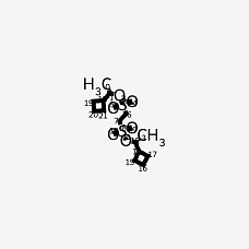 CC(OS(=O)(=O)CCS(=O)(=O)OC(C)C1CCC1)C1CCC1